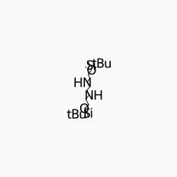 CC(C)(C)[Si](C)(C)OCCNCCNCCO[Si](C)(C)C(C)(C)C